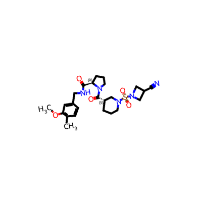 COc1cc(CNC(=O)[C@H]2CCCN2C(=O)[C@H]2CCCN(S(=O)(=O)N3CC(C#N)C3)C2)ccc1C